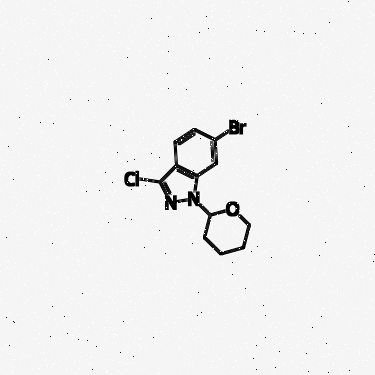 Clc1nn(C2CCCCO2)c2cc(Br)ccc12